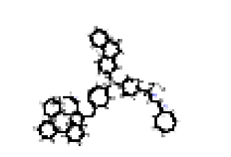 C/C=C\c1c(CC2=CC=CC(N(c3ccc(/C(C)=C/C=C4/C=CCC=CC4)nc3)c3ccc4c(ccc5ccccc54)c3)=CC2)c2cccc(-c3ccccc3)c2n1C1=CCCC=C1